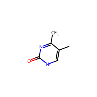 CC1=[C][N]C(=O)N=C1C(F)(F)F